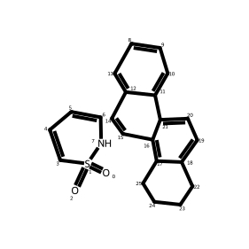 O=S1(=O)C=CC=CN1.c1ccc2c(c1)ccc1c3c(ccc12)CCCC3